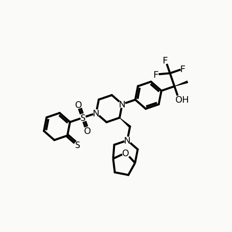 C[C@@](O)(c1ccc(N2CCN(S(=O)(=O)C3=CC=CCC3=S)C[C@@H]2CN2CC3CCC(C2)O3)cc1)C(F)(F)F